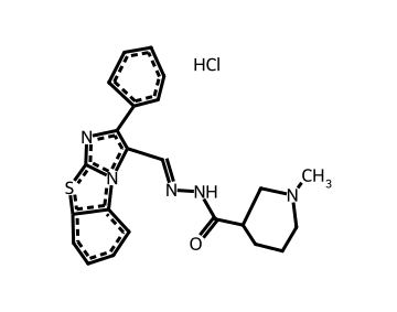 CN1CCCC(C(=O)NN=Cc2c(-c3ccccc3)nc3sc4ccccc4n23)C1.Cl